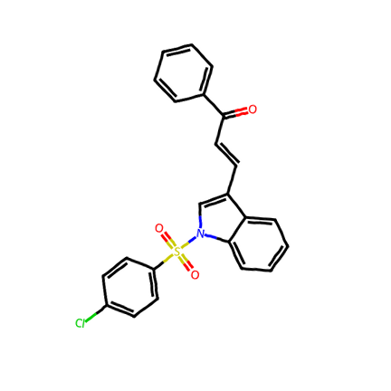 O=C(C=Cc1cn(S(=O)(=O)c2ccc(Cl)cc2)c2ccccc12)c1ccccc1